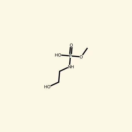 COP(=O)(O)NCCO